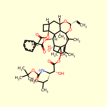 C=C[C@H]1O[C@H]2C[C@H]3CC[C@@]3(OC(C)=O)[C@H]3[C@H](OC(=O)c4ccccc4)[C@]4(O)C[C@H](OC(=O)[C@H](O)[C@H](CC(C)C)NC(=O)OC(C)(C)C)C(C)=C(C(C)[C@H](O1)[C@]23C)C4(C)C